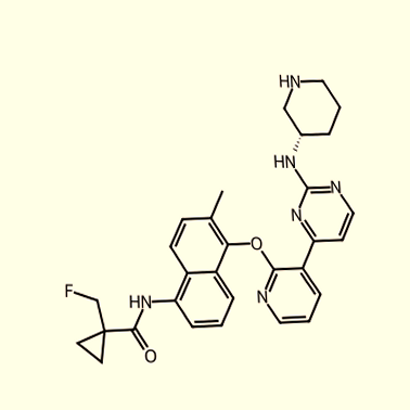 Cc1ccc2c(NC(=O)C3(CF)CC3)cccc2c1Oc1ncccc1-c1ccnc(N[C@H]2CCCNC2)n1